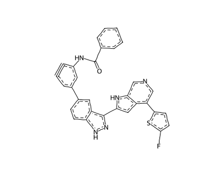 O=C(Nc1c#ccc(-c2ccc3[nH]nc(-c4cc5c(-c6ccc(F)s6)cncc5[nH]4)c3c2)c1)c1ccccc1